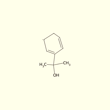 CC(C)(O)C1=C[CH]CC=C1